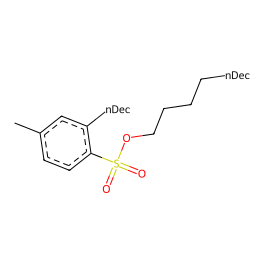 CCCCCCCCCCCCCCOS(=O)(=O)c1ccc(C)cc1CCCCCCCCCC